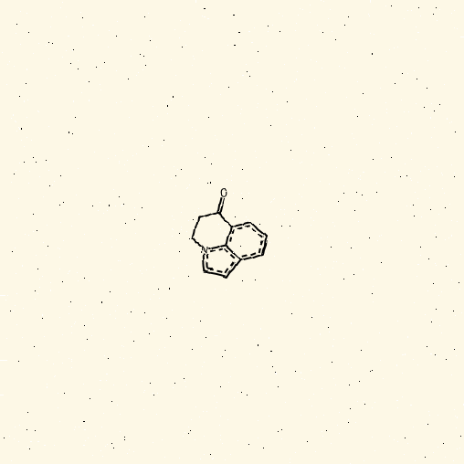 O=C1CCn2ccc3cccc1c32